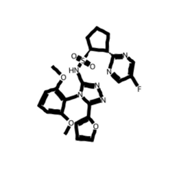 COc1cccc(OC)c1-n1c(NS(=O)(=O)[C@H]2CCC[C@@H]2c2ncc(F)cn2)nnc1-c1ccco1